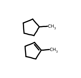 CC1=CCCC1.CC1CCCC1